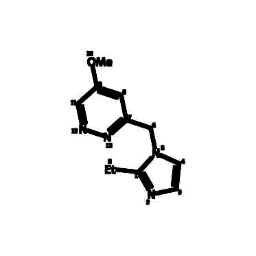 CCc1nccn1Cc1cc(OC)cnn1